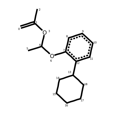 C=C(C)OC(C)Oc1ccccc1C1CCCCC1